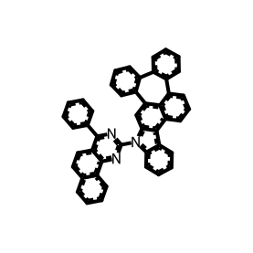 c1ccc(-c2nc(-n3c4ccccc4c4c5cccc6c5c(cc43)-c3ccccc3-c3ccccc3-6)nc3c2ccc2ccccc23)cc1